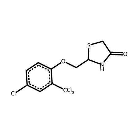 O=C1CSC(COc2ccc(Cl)cc2C(Cl)(Cl)Cl)N1